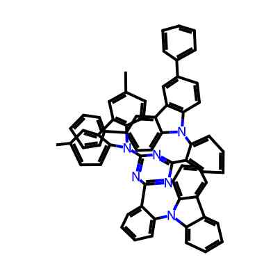 Cc1ccc2c(c1)c1cc(C)ccc1n2-c1nc(-c2ccccc2-n2c3ccccc3c3ccccc32)nc(-c2ccccc2-n2c3ccc(-c4ccccc4)cc3c3cc(-c4ccccc4)ccc32)n1